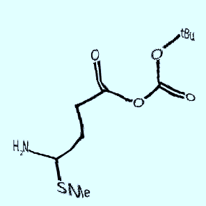 CSC(N)CCC(=O)OC(=O)OC(C)(C)C